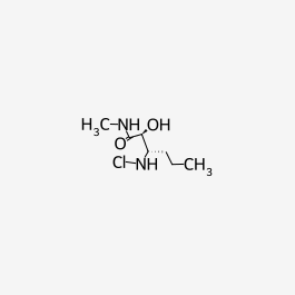 CCC[C@H](NCl)[C@H](O)C(=O)NC